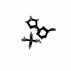 CS(=O)(=O)O.[Na][c]1cccc(C2=CCOC2)c1